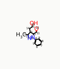 CC1=NN(c2ccccc2)C(C=O)C1CCO